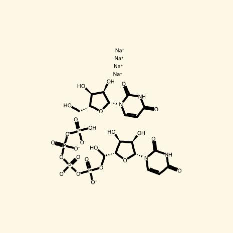 O=c1ccn([C@@H]2O[C@H](C(O)OP(=O)([O-])OP(=O)([O-])OP(=O)([O-])OP(=O)([O-])O)[C@@H](O)[C@H]2O)c(=O)[nH]1.O=c1ccn([C@@H]2O[C@H](CO)[C@@H](O)[C@H]2O)c(=O)[nH]1.[Na+].[Na+].[Na+].[Na+]